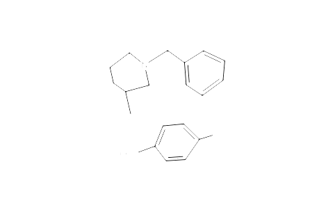 Cc1ccc(S(=O)(=O)O)cc1.OC1CCCN(Cc2ccccc2)C1